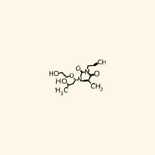 C#CCn1c(=O)c(C)cn(C(CC(C)O)OCCO)c1=O